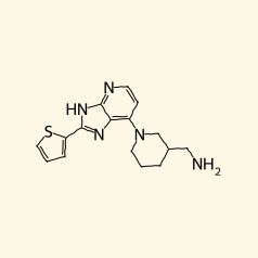 NCC1CCCN(c2ccnc3[nH]c(-c4cccs4)nc23)C1